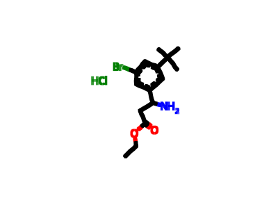 CCOC(=O)CC(N)c1cc(Br)cc(C(C)(C)C)c1.Cl